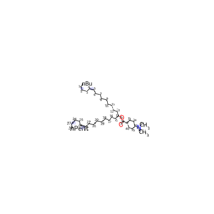 CCCC/C=C\C/C=C\CCCCCCCCC(CCCCCCCC/C=C\C/C=C\CCCCC)OC(=O)C1CCC(N(C)C)CC1